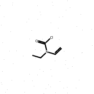 C=CN(CC)C(=O)Cl